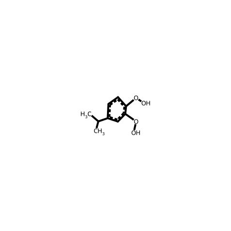 CC(C)c1ccc(OO)c(OO)c1